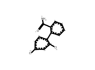 NC(=O)c1ccccc1-c1ccc(Cl)cc1Cl